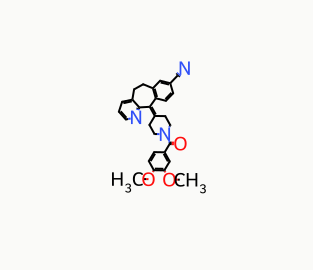 COc1ccc(C(=O)N2CCC(=C3c4ccc(C#N)cc4CCc4cccnc43)CC2)cc1OC